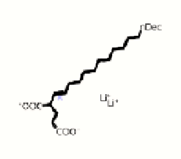 CCCCCCCCCCCCCCCCCCCC/C=C/C(CCC(=O)[O-])C(=O)[O-].[Li+].[Li+]